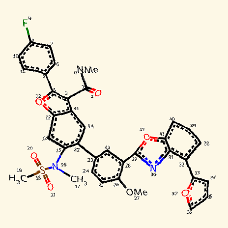 CNC(=O)c1c(-c2ccc(F)cc2)oc2cc(N(C)S(C)(=O)=O)c(-c3ccc(OC)c(-c4nc5c(-c6ccco6)cccc5o4)c3)cc12